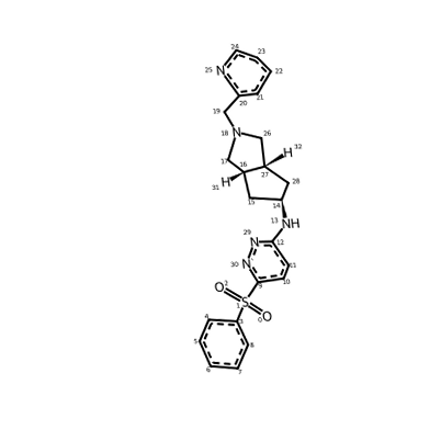 O=S(=O)(c1ccccc1)c1ccc(N[C@H]2C[C@@H]3CN(Cc4ccccn4)C[C@@H]3C2)nn1